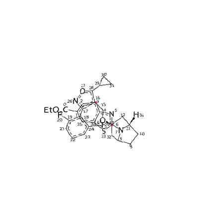 CCOC(=O)c1ccc2nc(N3C4CC[C@H]3C[C@H](OCc3c(-c5c(F)cccc5F)noc3C3CC3)C4)sc2c1